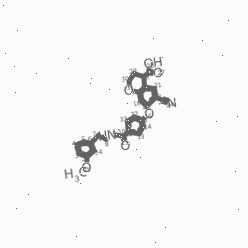 COc1cccc(CCNC(=O)c2ccc(Oc3cc4c(cc3C#N)C(C(=O)O)CCO4)cc2)c1